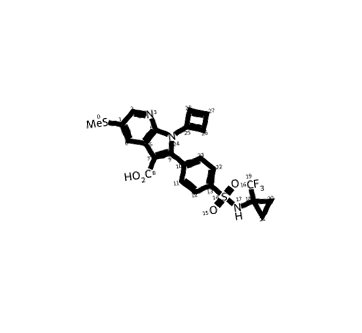 CSc1cnc2c(c1)c(C(=O)O)c(-c1ccc(S(=O)(=O)NC3(C(F)(F)F)CC3)cc1)n2C1=CC=C1